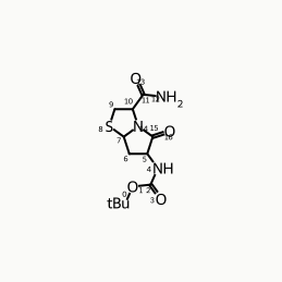 CC(C)(C)OC(=O)NC1CC2SCC(C(N)=O)N2C1=O